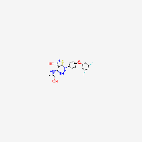 CC(CO)NC(=N)c1c(O)nsc1Nc1ccc(Oc2cc(F)cc(F)c2)cc1